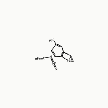 CCCCCN=[N+]=[N-].N#Cc1ccc2c(c1)c1cn2-1